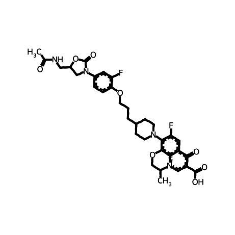 CC(=O)NCC1CN(c2ccc(OCCCC3CCN(c4c(F)cc5c(=O)c(C(=O)O)cn6c5c4OCC6C)CC3)c(F)c2)C(=O)O1